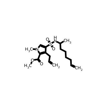 C=CCCCCC(C)NS(=O)(=O)c1cn(C)c(C(=O)OC)c1CC=C